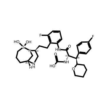 O=C(O)N[C@H](C(=O)Nc1cccc(F)c1CC[C@H]1CN[C@@H]2CCCS(O)(O)N1C2)[C@@H](c1ccc(F)cc1)C1CCCCO1